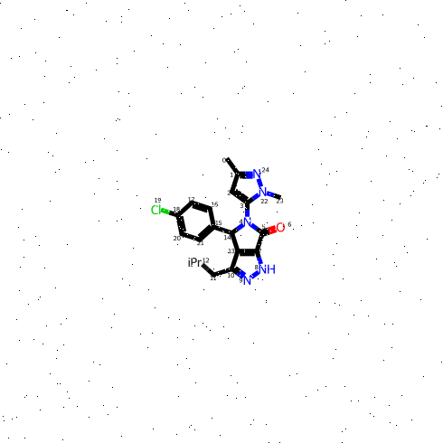 Cc1cc(N2C(=O)c3[nH]nc(CC(C)C)c3C2c2ccc(Cl)cc2)n(C)n1